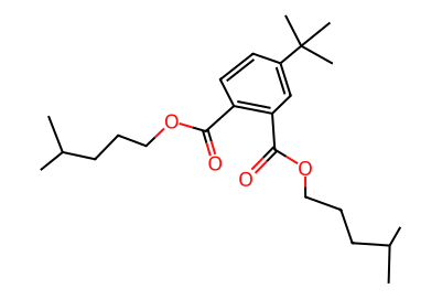 CC(C)CCCOC(=O)c1ccc(C(C)(C)C)cc1C(=O)OCCCC(C)C